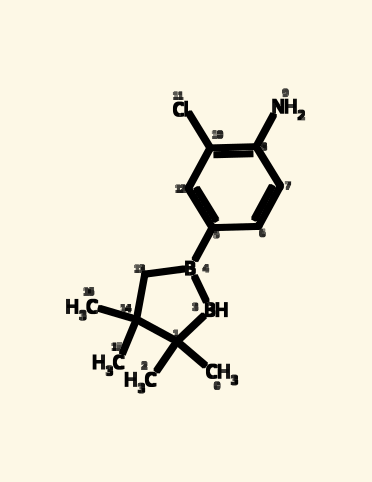 CC1(C)BB(c2ccc(N)c(Cl)c2)CC1(C)C